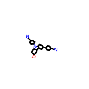 COc1ccc2c(c1)c1cc(-c3ccc(C#N)cc3)ccc1n2-c1ccc(C#N)cc1